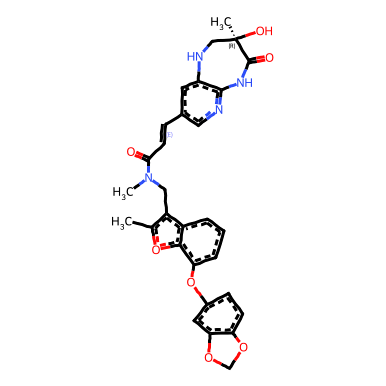 Cc1oc2c(Oc3ccc4c(c3)OCO4)cccc2c1CN(C)C(=O)/C=C/c1cnc2c(c1)NC[C@@](C)(O)C(=O)N2